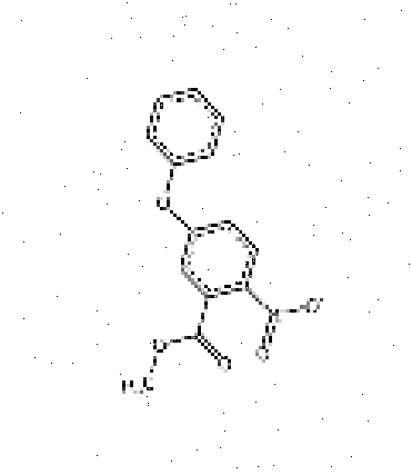 COC(=O)c1cc(Oc2ccccc2)ccc1[N+](=O)[O-]